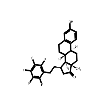 C[C@]12CC[C@@H]3c4ccc(O)cc4CC[C@H]3[C@@H]1[C@H](CCc1c(F)c(F)c(F)c(F)c1F)CC2=O